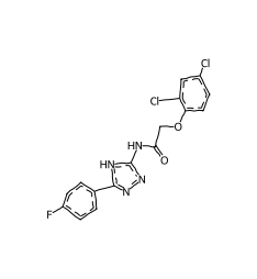 O=C(COc1ccc(Cl)cc1Cl)Nc1nnc(-c2ccc(F)cc2)[nH]1